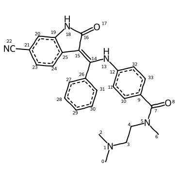 CN(C)CCN(C)C(=O)c1ccc(N/C(=C2\C(=O)Nc3cc(C#N)ccc32)c2ccccc2)cc1